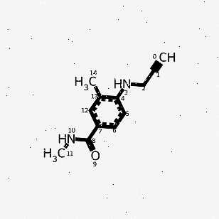 C#CCNc1ccc(C(=O)NC)cc1C